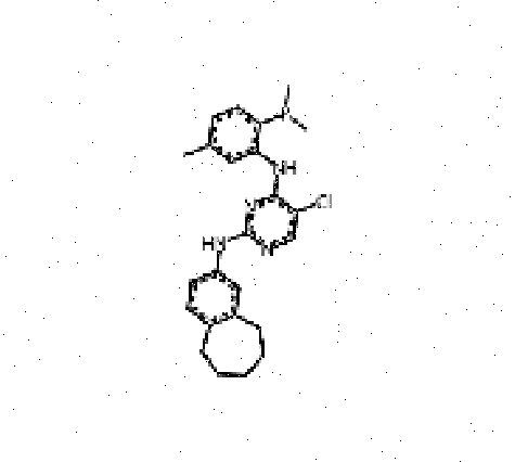 Cc1ccc(P(C)C)c(Nc2nc(Nc3ccc4c(c3)CCCCC4)ncc2Cl)c1